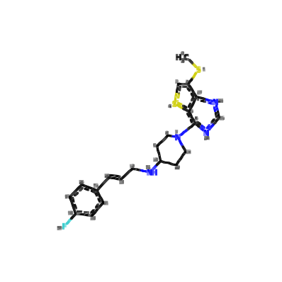 CSc1csc2c(N3CCC(NC/C=C/c4ccc(F)cc4)CC3)ncnc12